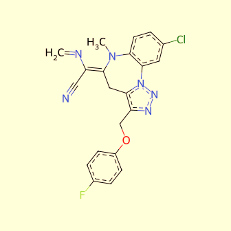 C=N/C(C#N)=C1/Cc2c(COc3ccc(F)cc3)nnn2-c2cc(Cl)ccc2N1C